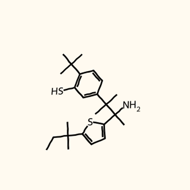 CCC(C)(C)c1ccc(C(C)(N)C(C)(C)c2ccc(C(C)(C)C)c(S)c2)s1